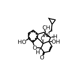 C[N+]1(CC2CC2)CC[C@]23c4c5ccc(O)c4O[C@H]2C(=O)C=C[C@@]3(O)[C@H]1C5